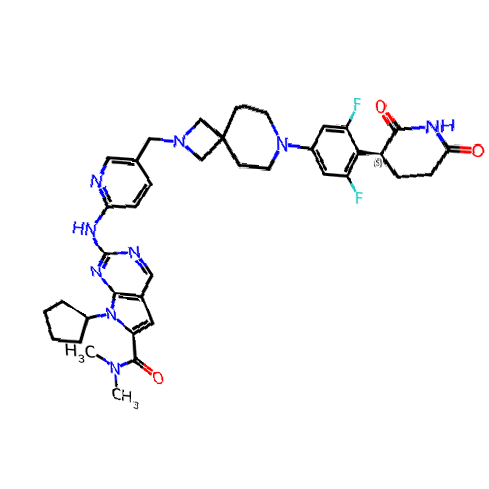 CN(C)C(=O)c1cc2cnc(Nc3ccc(CN4CC5(CCN(c6cc(F)c([C@@H]7CCC(=O)NC7=O)c(F)c6)CC5)C4)cn3)nc2n1C1CCCC1